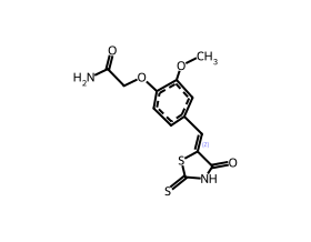 COc1cc(/C=C2\SC(=S)NC2=O)ccc1OCC(N)=O